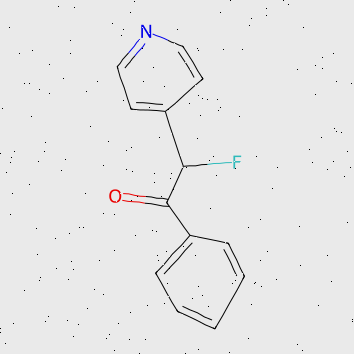 O=C(c1ccccc1)C(F)c1ccncc1